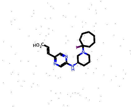 O=C(O)C=Cc1cnc(N[C@@H]2CCCN(C3(I)CCCCCC3)C2)cn1